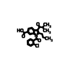 CCCc1c(C(=O)C(C)C)c2ccc(C(=O)O)cc2n1C(=O)c1ccccc1Cl